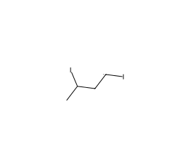 CC(I)C[CH]I